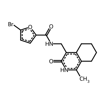 Cc1[nH]c(=O)c(CNC(=O)c2ccc(Br)o2)c2c1CCCC2